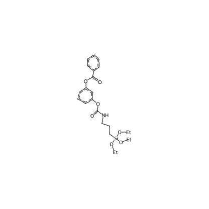 CCO[Si](CCCNC(=O)Oc1cccc(OC(=O)c2ccccc2)c1)(OCC)OCC